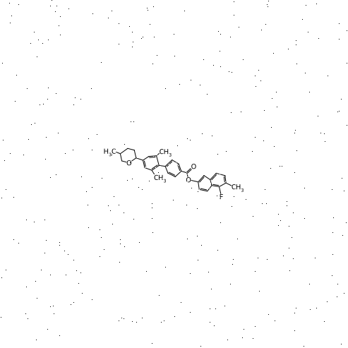 Cc1cc(C2CCC(C)CO2)cc(C)c1-c1ccc(C(=O)Oc2ccc3c(F)c(C)ccc3c2)cc1